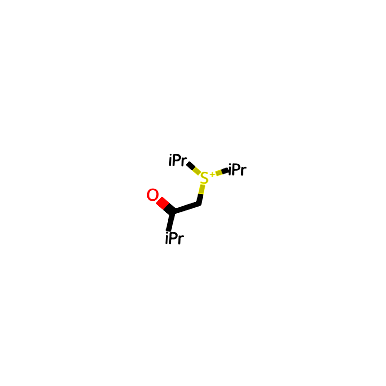 CC(C)C(=O)C[S+](C(C)C)C(C)C